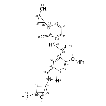 CC(C)Oc1cc2nn(C34COC(C)(C3)C4)cc2cc1C(=O)Nc1cccn(C2CC2C)c1=O